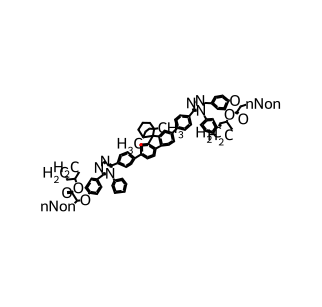 C=CC(C=C)OC(=O)C(CCCCCCCCC)Oc1ccc(-c2nnc(-c3ccc(-c4ccc5c(c4)C4(c6cc(-c7ccc(-c8nnc(-c9ccc(OC(CCCCCCCCC)C(=O)OC(C=C)C=C)cc9)n8-c8ccccc8)cc7)ccc6-5)C5(C)CCCC4(C)CC5)cc3)n2-c2ccccc2)cc1